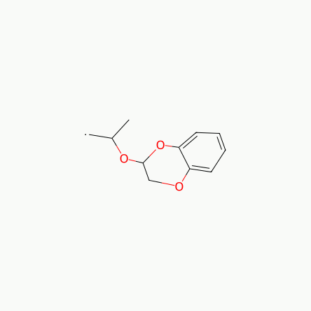 [CH2]C(C)OC1COc2ccccc2O1